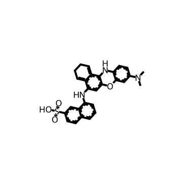 CN(C)c1ccc2c(c1)Oc1cc(Nc3cccc4ccc(S(=O)(=O)O)cc34)c3c(c1N2)=CCCC=3